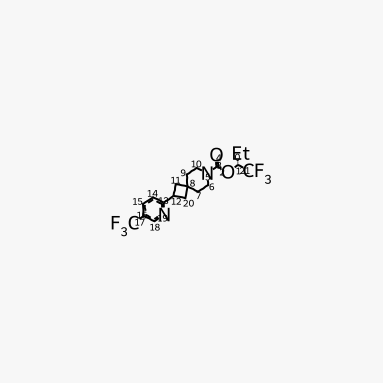 CC[C@@H](OC(=O)N1CCC2(CC1)CC(c1ccc(C(F)(F)F)cn1)C2)C(F)(F)F